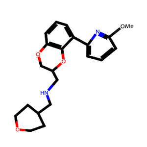 COc1cccc(-c2cccc3c2OC(CNCC2CCOCC2)CO3)n1